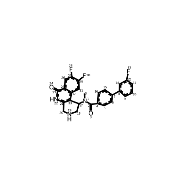 CN(C(=O)c1ccc(-c2cccc(F)c2)cc1)C1CNCc2[nH]c(=O)c3cc(F)c(F)cc3c21